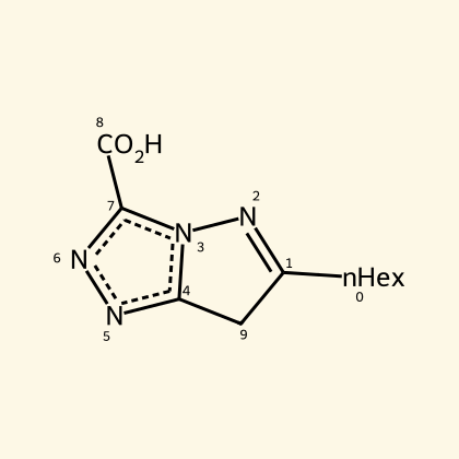 CCCCCCC1=Nn2c(nnc2C(=O)O)C1